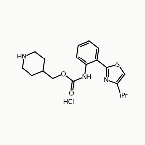 CC(C)c1csc(-c2ccccc2NC(=O)OCC2CCNCC2)n1.Cl